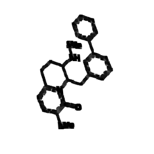 CNc1ccc2n(c1=O)C(Cc1cccc(-c3ccccc3)c1)C(NSC)CC2